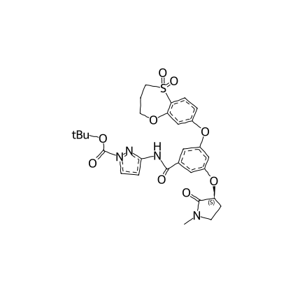 CN1CC[C@H](Oc2cc(Oc3ccc4c(c3)OCCCS4(=O)=O)cc(C(=O)Nc3ccn(C(=O)OC(C)(C)C)n3)c2)C1=O